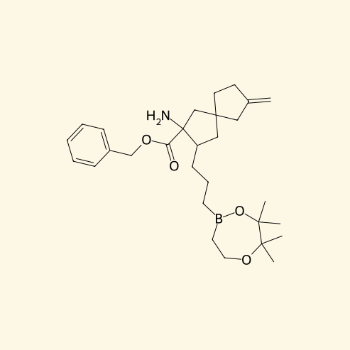 C=C1CCC2(C1)CC(CCCB1CCOC(C)(C)C(C)(C)O1)C(N)(C(=O)OCc1ccccc1)C2